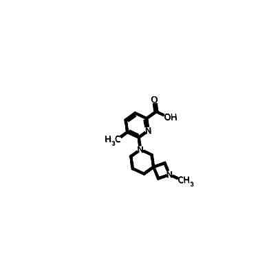 Cc1ccc(C(=O)O)nc1N1CCCC2(CN(C)C2)C1